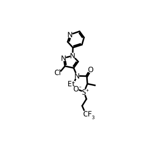 CCN(C(=O)C(C)[S+]([O-])CCC(F)(F)F)c1cn(-c2cccnc2)nc1Cl